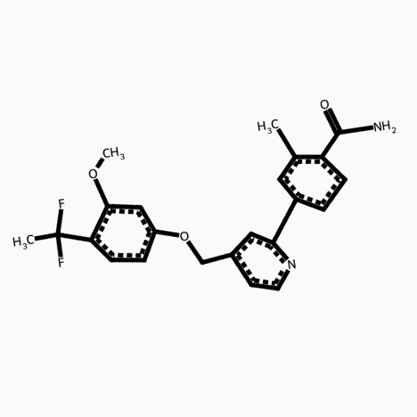 COc1cc(OCc2ccnc(-c3ccc(C(N)=O)c(C)c3)c2)ccc1C(C)(F)F